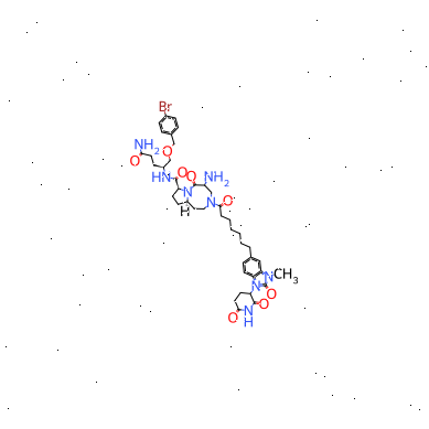 Cn1c(=O)n(C2CCC(=O)NC2=O)c2ccc(CCCCCCC(=O)N3CC[C@H]4CC[C@@H](C(=O)N[C@@H](CCC(N)=O)COCc5ccc(Br)cc5)N4C(=O)[C@@H](N)C3)cc21